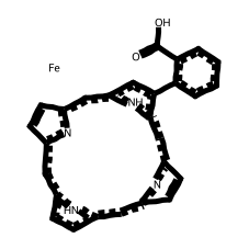 O=C(O)c1ccccc1-c1cc2cc3nc(cc4ccc(cc5nc(cc1[nH]2)C=C5)[nH]4)C=C3.[Fe]